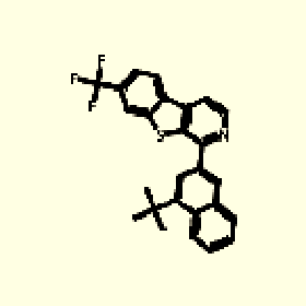 CC(C)(C)c1cc(-c2nccc3c2sc2cc(C(F)(F)F)ccc23)cc2ccccc12